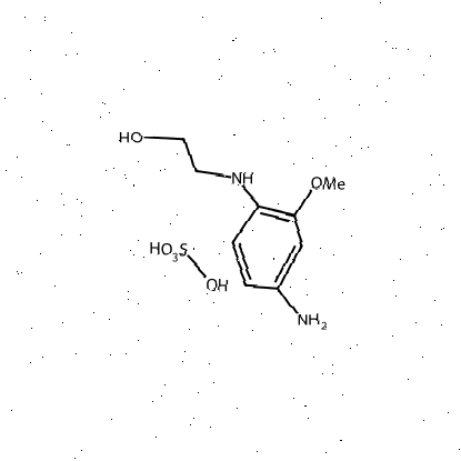 COc1cc(N)ccc1NCCO.O=S(=O)(O)O